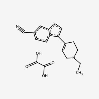 CCN1CC=C(c2csc3cc(C#N)ccc23)CC1.O=C(O)C(=O)O